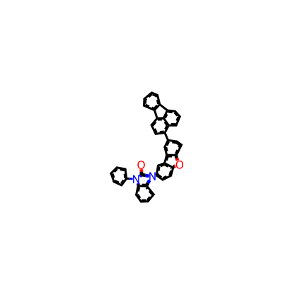 O=c1n(-c2ccccc2)c2ccccc2n1-c1ccc2oc3ccc(-c4ccc5c6c(cccc46)-c4ccccc4-5)cc3c2c1